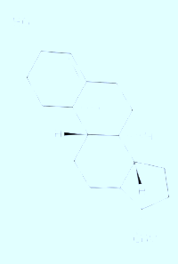 C[C@]12CC[C@H]3[C@@H](CCC4=C[C@@H](O)CC[C@@]43C)[C@@H]1CC[C@@H]2C=O